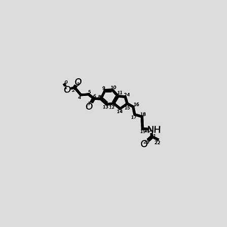 COC(=O)CCC(=O)c1ccc2c(c1)CC(CCCCNC(C)=O)C2